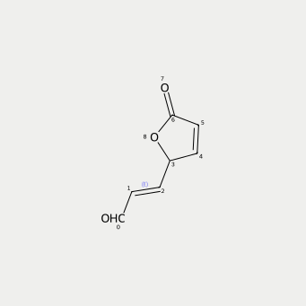 O=C/C=C/C1C=CC(=O)O1